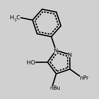 CCCCc1c(CCC)nn(-c2cccc(C)c2)c1O